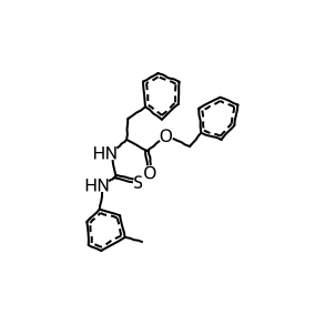 Cc1cccc(NC(=S)NC(Cc2ccccc2)C(=O)OCc2ccccc2)c1